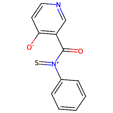 O=C(c1cnccc1[O-])[N+](=S)c1ccccc1